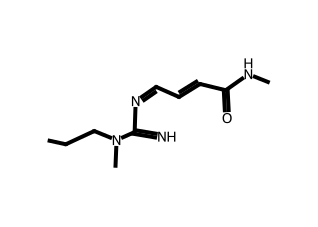 CCCN(C)C(=N)/N=C\C=C\C(=O)NC